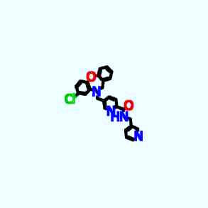 O=C(NCc1cccnc1)c1ccc(CN2Cc3ccccc3Oc3ccc(Cl)cc32)cn1